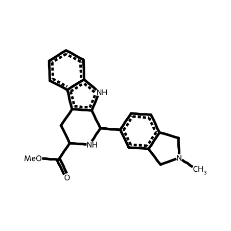 COC(=O)C1Cc2c([nH]c3ccccc23)C(c2ccc3c(c2)CN(C)C3)N1